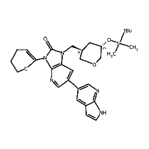 CC(C)(C)[Si](C)(C)O[C@@H]1COC[C@@H](Cn2c(=O)n(C3=CCCCC3)c3ncc(-c4cnc5[nH]ccc5c4)cc32)C1